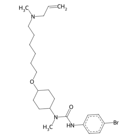 C=CCN(C)CCCCCCOC1CCC(N(C)C(=O)Nc2ccc(Br)cc2)CC1